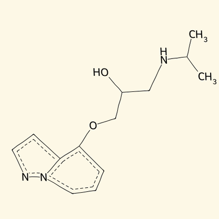 CC(C)NCC(O)COc1cccn2nccc12